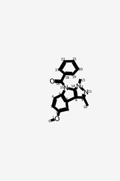 COc1ccc2c(c1)c1c(C)nn(C)c1n2C(=O)c1ccccc1